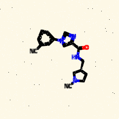 N#Cc1cccc(-n2cnc(C(=O)NC[C@H]3CCN(C#N)C3)c2)c1